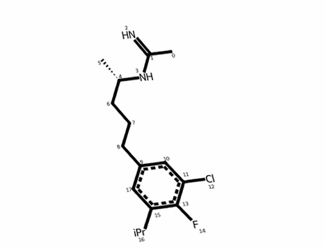 CC(=N)N[C@@H](C)CCCc1cc(Cl)c(F)c(C(C)C)c1